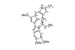 COC1=CC(c2cc3cc(OC)c(OC)cc3n2C(=O)OC(C)(C)C)=N/C1=C\c1[nH]c(C)cc1C